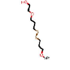 CCCOCCCSSCCCOCCO